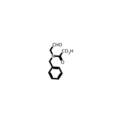 O=CCN(Cc1ccccc1)C(=O)C(=O)O